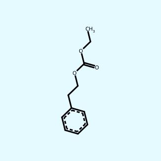 CCOC(=O)OCCc1ccccc1